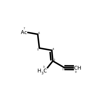 C#C/C(C)=C/CCC(C)=O